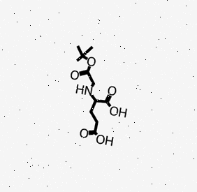 CC(C)(C)OC(=O)CNC(CCC(=O)O)C(=O)O